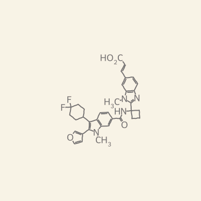 Cn1c(C2(NC(=O)c3ccc4c(C5CCC(F)(F)CC5)c(-c5ccoc5)n(C)c4c3)CCC2)nc2ccc(/C=C/C(=O)O)cc21